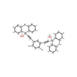 Cc1cc(C)c(C#CC2(O)c3ccccc3Cc3ccccc32)cc1C#CC1(O)c2ccccc2Cc2ccccc21